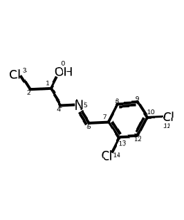 OC(CCl)CN=Cc1ccc(Cl)cc1Cl